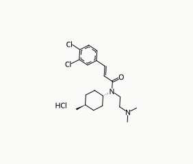 CN(C)CCN(C(=O)/C=C/c1ccc(Cl)c(Cl)c1)[C@H]1CC[C@H](C)CC1.Cl